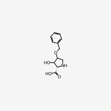 O=C(O)[C@H]1NCC(OCc2ccccc2)C1O